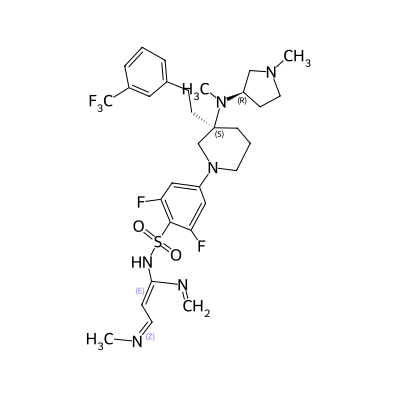 C=N/C(=C\C=N/C)NS(=O)(=O)c1c(F)cc(N2CCC[C@](CCc3cccc(C(F)(F)F)c3)(N(C)[C@@H]3CCN(C)C3)C2)cc1F